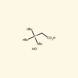 CCCC[P+](CCCC)(CCCC)CC(=O)O.[OH-]